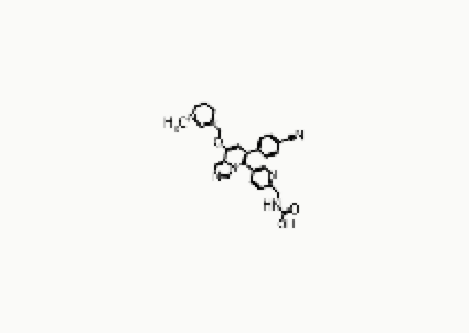 CN1CCC[C@@H](COc2cc(-c3ccc(C#N)cc3)c(-c3ccc(CNC(=O)O)nc3)n3cncc23)C1